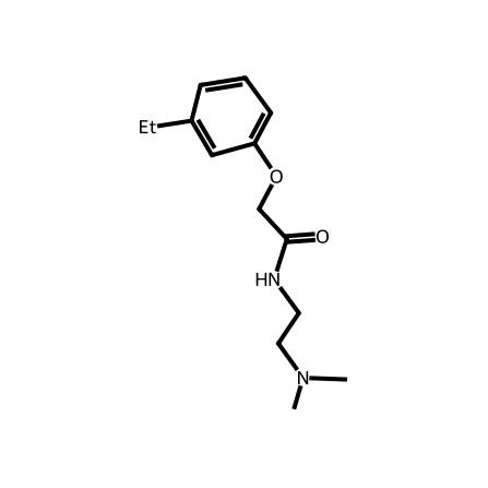 CCc1cccc(OCC(=O)NCCN(C)C)c1